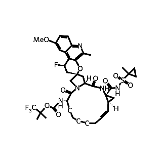 COc1ccc2nc(C)c3c(c2c1)[C@H](F)C[C@]1(C[C@H]2C(=O)N[C@]4(C(=O)NS(=O)(=O)C5(C)CC5)C[C@H]4/C=C\CCCCC[C@H](NC(=O)OC(C)(C)C(F)(F)F)C(=O)N2C1)O3